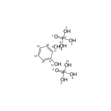 C.O=P(O)(O)O.O=P(O)(O)O.Oc1ccccc1